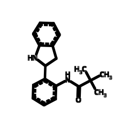 CC(C)(C)C(=O)Nc1ccccc1C1Cc2ccccc2N1